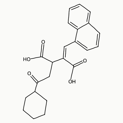 O=C(O)C(=Cc1cccc2ccccc12)C(CC(=O)C1CCCCC1)C(=O)O